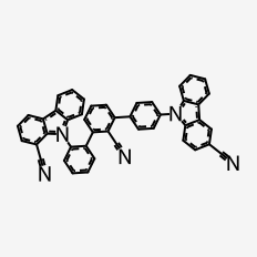 N#Cc1ccc2c(c1)c1ccccc1n2-c1ccc(-c2cccc(-c3ccccc3-n3c4ccccc4c4cccc(C#N)c43)c2C#N)cc1